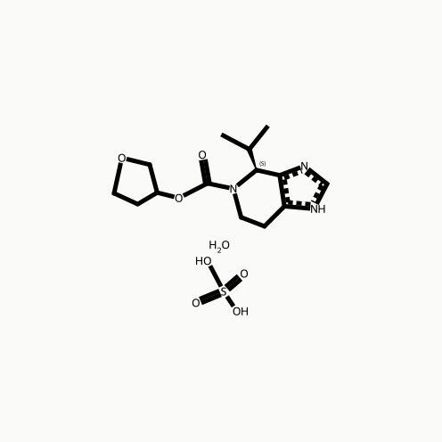 CC(C)[C@H]1c2nc[nH]c2CCN1C(=O)OC1CCOC1.O.O=S(=O)(O)O